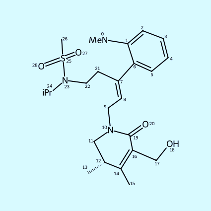 CNc1ccccc1/C(=C/CN1C[C@@H](C)C(C)=C(CO)C1=O)CCN(C(C)C)S(C)(=O)=O